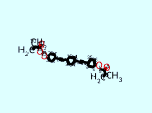 C=C(C)C(=O)COc1ccc(C#Cc2ccc(C#Cc3ccc(OCOC(=O)C(=C)C)cc3)cc2)cc1